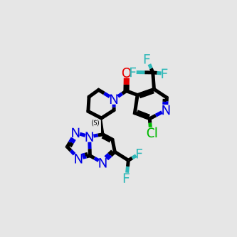 O=C(c1cc(Cl)ncc1C(F)(F)F)N1CCC[C@H](c2cc(C(F)F)nc3ncnn23)C1